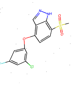 CS(=O)(=O)c1ccc(Oc2cc(F)cc(Cl)c2)c2cn[nH]c12